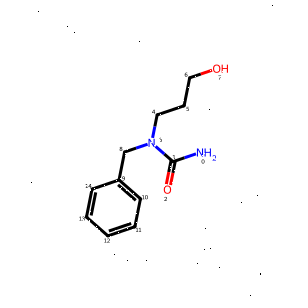 NC(=O)N(CCCO)Cc1ccccc1